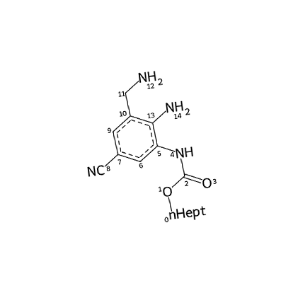 CCCCCCCOC(=O)Nc1cc(C#N)cc(CN)c1N